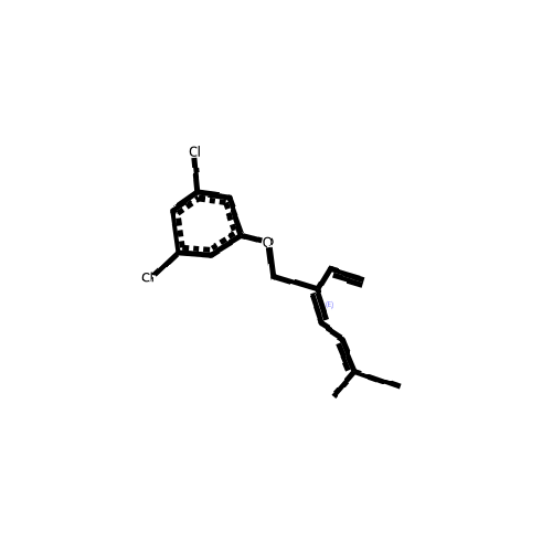 C=C/C(=C\C=C(C)C)COc1cc(Cl)cc(Cl)c1